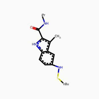 CCCCSNc1ccc2[nH]c(C(=O)NC(C)C)c(C)c2c1